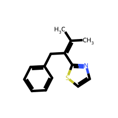 CC(C)=C(Cc1ccccc1)c1nccs1